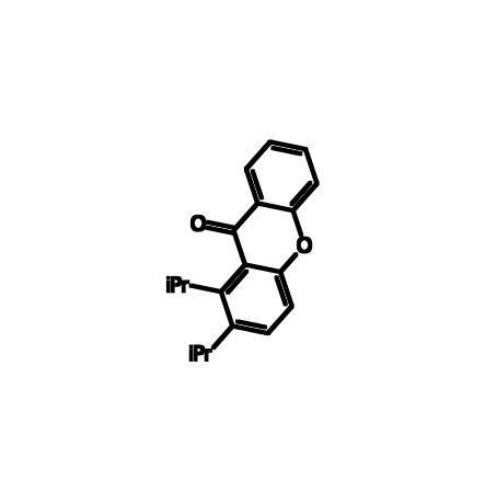 CC(C)c1ccc2oc3ccccc3c(=O)c2c1C(C)C